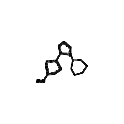 COc1ccc(-c2cccn2C2CCCCC2)cc1